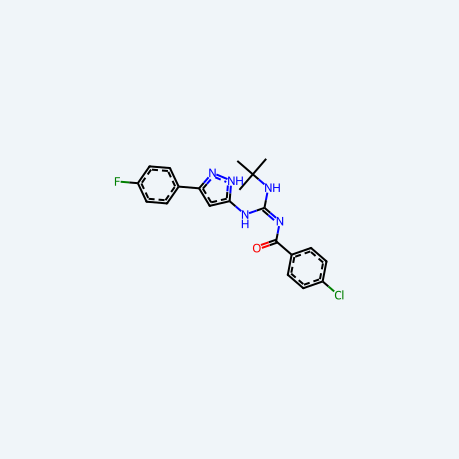 CC(C)(C)N/C(=N/C(=O)c1ccc(Cl)cc1)Nc1cc(-c2ccc(F)cc2)n[nH]1